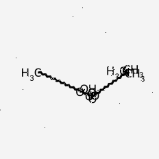 CCCCCCCCCCCCCCCCCCOC(O)CCOP(=O)([O-])OCCCCCCCCCCCCCC[N+](C)(C)C